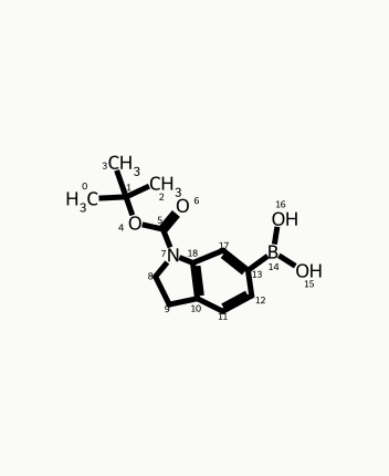 CC(C)(C)OC(=O)N1CCc2ccc(B(O)O)cc21